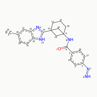 N=Nc1ccc(C(=O)NC23CCCC(c4nc5cc(C(F)(F)F)ccc5[nH]4)(C2)C3)cc1